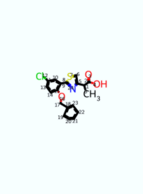 CC(C(=O)O)c1csc(-c2cc(Cl)ccc2OCc2ccccc2)n1